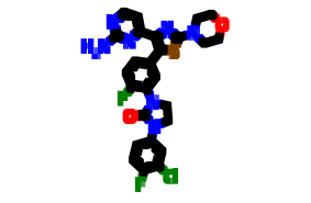 Nc1nccc(-c2nc(N3CCOCC3)sc2-c2ccc(F)c(N3CCN(c4ccc(F)c(Cl)c4)C3=O)c2)n1